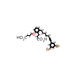 O=C(O)CCCOc1cccc(CCCCCC#Cc2cc(Br)cc(Br)c2)c1CCC(=O)O